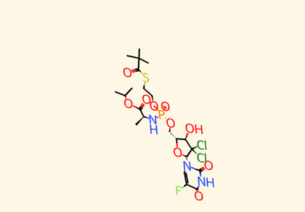 CC(C)OC(=O)[C@H](C)N[P@](=O)(OCCSC(=O)C(C)(C)C)OC[C@H]1O[C@@H](n2cc(F)c(=O)[nH]c2=O)C(Cl)(Cl)[C@@H]1O